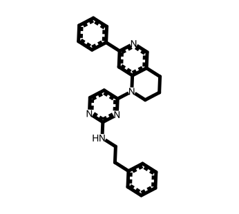 c1ccc(CCNc2nccc(N3CCCc4cnc(-c5ccccc5)cc43)n2)cc1